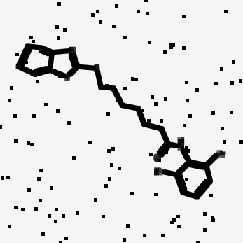 CC(C)c1cccc(C(C)C)c1NC(=O)CCCCCCSc1nc2ccccc2s1